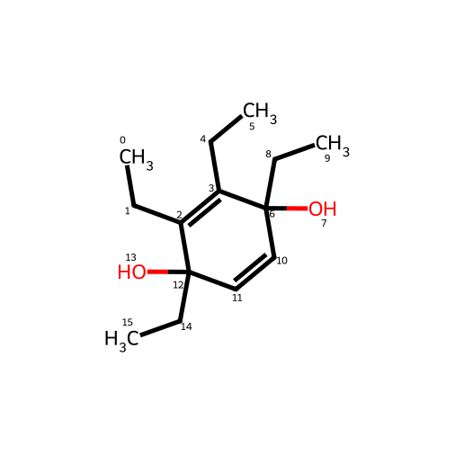 CCC1=C(CC)C(O)(CC)C=CC1(O)CC